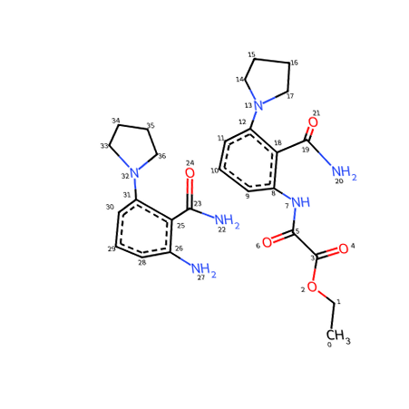 CCOC(=O)C(=O)Nc1cccc(N2CCCC2)c1C(N)=O.NC(=O)c1c(N)cccc1N1CCCC1